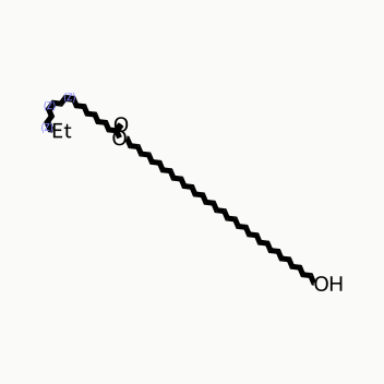 CC/C=C\C/C=C\C/C=C\CCCCCCCC(=O)OCCCCCCCCCCCCCCCCCCCCCCCCCCCCCCCCCCCCO